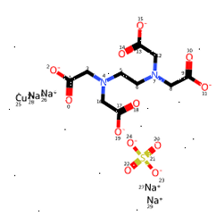 O=C([O-])CN(CCN(CC(=O)[O-])CC(=O)[O-])CC(=O)[O-].O=S(=O)([O-])[O-].[Cu+2].[Na+].[Na+].[Na+].[Na+]